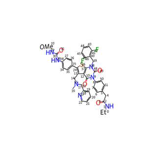 CCNC(=O)Cc1ccc(-n2c(=O)c3c(CN(C)Cc4ccccn4)c(-c4ccc(NC(=O)NOC)cc4)sc3n(Cc3c(F)cccc3F)c2=O)cc1